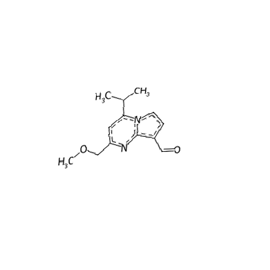 COCc1cc(C(C)C)n2ccc(C=O)c2n1